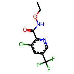 CCONC(=O)c1ncc(C(F)(F)F)cc1Cl